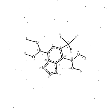 COB(OC)c1cc(C(F)(F)F)c(B(OC)OC)c2nsnc12